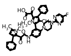 Cc1c(-c2ccccc2)c(C(=O)C(=O)O)n(C)c1-c1cc(NC(=O)C(=O)c2c(-c3ccccc3)cc(C)n2C)ccc1N1CCN(c2ncc(F)cn2)CC1